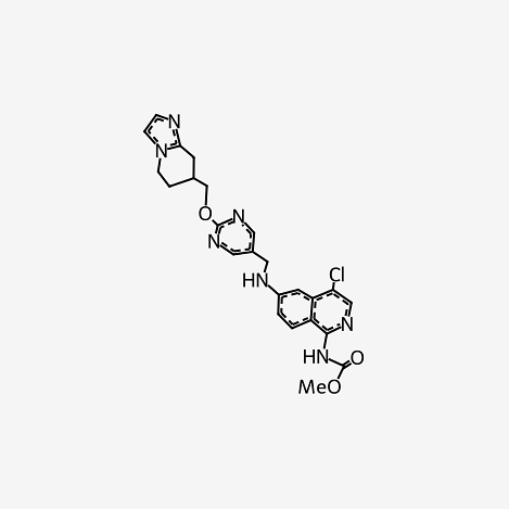 COC(=O)Nc1ncc(Cl)c2cc(NCc3cnc(OCC4CCn5ccnc5C4)nc3)ccc12